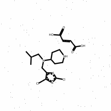 CC(C)CN(Cc1sc(Cl)nc1Cl)C1CCNCC1.O=C(O)C=CC(=O)O